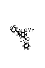 COc1nc(C(=O)Nc2ccccn2)cn2cc(C3CCOCC3)nc12